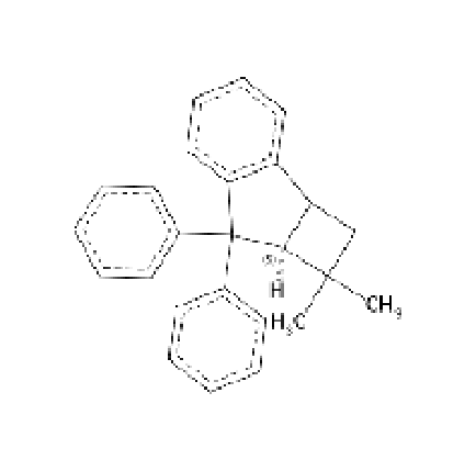 CC1(C)CC2c3ccccc3C(c3ccccc3)(c3ccccc3)[C@@H]21